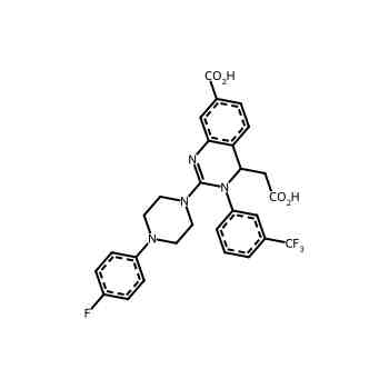 O=C(O)CC1c2ccc(C(=O)O)cc2N=C(N2CCN(c3ccc(F)cc3)CC2)N1c1cccc(C(F)(F)F)c1